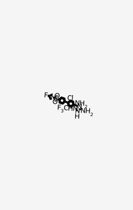 NC1=NC(N)(c2cc(Cl)c(-c3ccc(S(=O)(=O)N4CC(F)C4)cc3)c(C(F)(F)F)c2)NN1